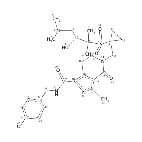 CN(C)C[C@@H](O)C(C)(C)S(=O)(=O)C1(CN2CCc3c(C(=O)NCc4ccc(Cl)cc4)nn(C)c3C2=O)CC1